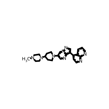 CN1CCN(C2CCN(c3cnc4c(-c5ccnc6ncccc56)cnn4c3)CC2)CC1